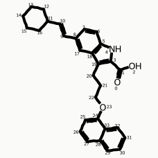 O=C(O)c1[nH]c2ccc(C=CC3CCCCC3)cc2c1CCCOc1cccc2ccccc12